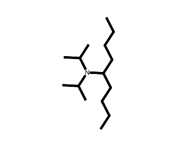 CCCCC(CCCC)N(C(C)C)C(C)C